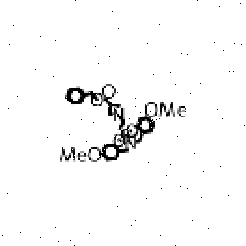 COc1ccc(CN(Cc2ccc(OC)cc2)S(=O)(=O)CCN2CC(C(=O)OCc3ccccc3)C2)cc1